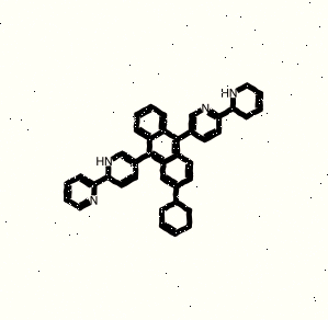 C1=CCC(c2ccc3c(-c4ccc(C5CC=CCN5)nc4)c4ccccc4c(C4=CNC(c5ccccn5)C=C4)c3c2)CC1